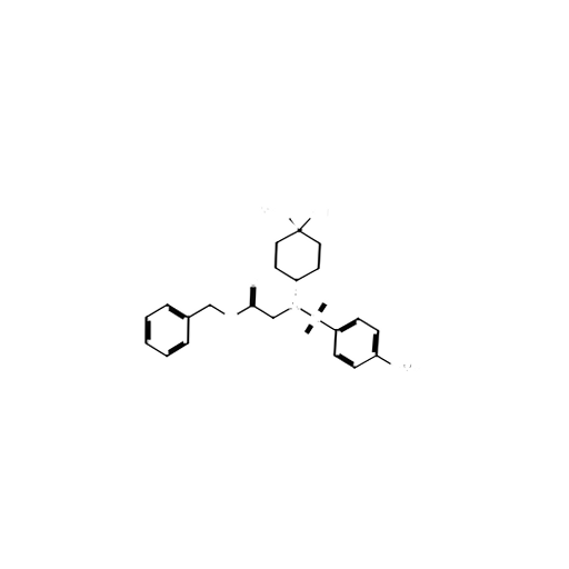 COc1ccc(S(=O)(=O)N(CC(=O)OCc2ccccc2)[C@H]2CC[C@](C)(OC)CC2)cc1